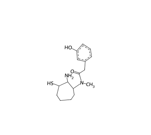 CN(C(=O)Cc1cccc(O)c1)C1CCCCC(S)C1N